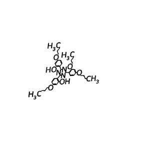 CCCCOc1ccc(-c2nc(-c3ccc(OCCCC)cc3O)nc(-c3ccc(OCCCC)cc3OCCCC)n2)c(O)c1